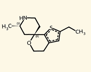 CCc1cc2c(s1)[C@]1(CCN[C@@H](C)C1)OCC2